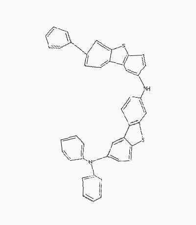 c1ccc(-c2ccc3c(c2)sc2ccc(Nc4ccc5c(c4)sc4ccc(N(c6ccccc6)c6ccccc6)cc45)cc23)cc1